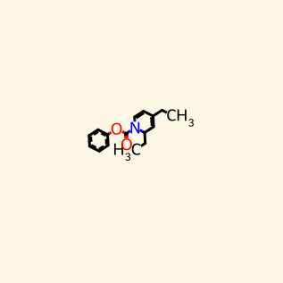 CCC1=CC(CC)N(C(=O)Oc2ccccc2)C=C1